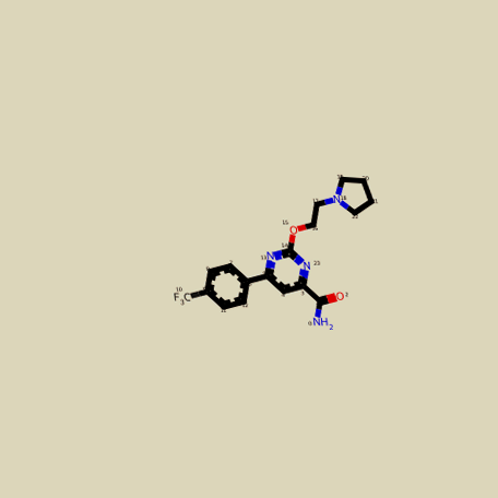 NC(=O)c1cc(-c2ccc(C(F)(F)F)cc2)nc(OCCN2CCCC2)n1